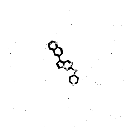 c1cnc2ccc(-c3ccn4nc(NC5CCOCC5)ncc34)cc2c1